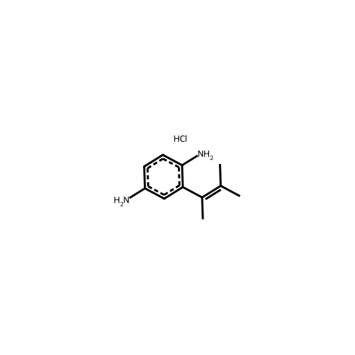 CC(C)=C(C)c1cc(N)ccc1N.Cl